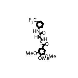 COc1cc(C(=O)SNNC(=O)Nc2cccc(C(F)(F)F)c2)cc(OC)c1OC